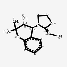 CC1(C)Oc2ccccc2[C@H](N2CCSC2=NC#N)[C@H]1O